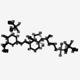 C=C1[C@H](OS)C/C(=C/C=C2\CCC[C@]3(C)[C@@H]([C@@H](C)/C=C/CC(C)(C)O[Si](C)(C)C(C)(C)C)CC[C@@H]23)C[C@H]1O[Si](C)(C)C(C)(C)C